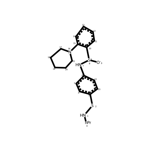 CCCNSc1ccc(N[S+]([O-])c2ccccc2N2CCCCC2)cc1